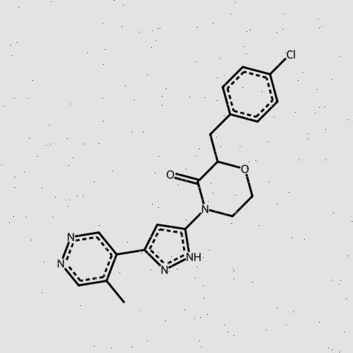 Cc1cnncc1-c1cc(N2CCOC(Cc3ccc(Cl)cc3)C2=O)[nH]n1